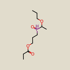 CCCOC(C)[PH](=O)CCCOC(=O)CC